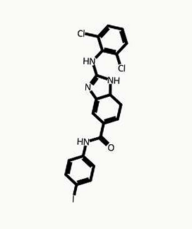 O=C(Nc1ccc(I)cc1)C1=CCC2NC(Nc3c(Cl)cccc3Cl)=NC2=C1